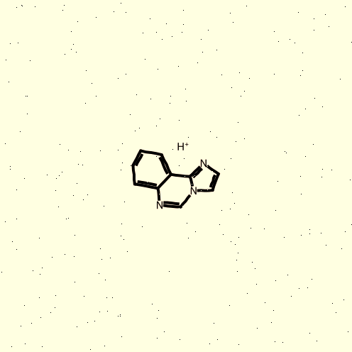 [H+].c1ccc2c(c1)ncn1ccnc21